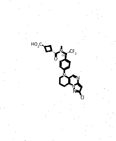 CN(C(=O)[C@H]1C[C@H](C(=O)O)C1)[C@@H](c1ccc(N2CCCc3c2cnc2cc(Cl)nn32)cc1)C(F)(F)F